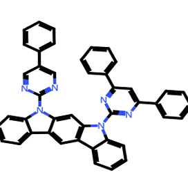 c1ccc(-c2cnc(-n3c4ccccc4c4cc5c6ccccc6n(-c6nc(-c7ccccc7)cc(-c7ccccc7)n6)c5cc43)nc2)cc1